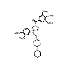 COc1ccc([C@]2(CCN3CCC(N4CCCCC4)CC3)CCN(C(=O)c3cc(OC)c(OC)c(OC)c3)C2)cc1OC